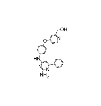 Nc1nc(Nc2ccc(Oc3ccnc(CO)c3)cc2)cc(-c2ccccc2)n1